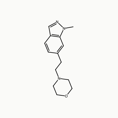 Cn1ncc2ccc(CCN3CCOCC3)cc21